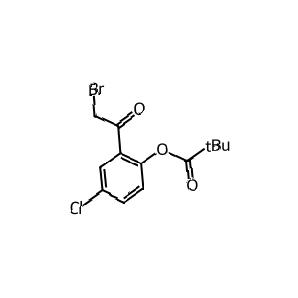 CC(C)(C)C(=O)Oc1ccc(Cl)cc1C(=O)CBr